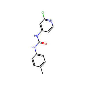 Cc1ccc(NC(=O)Nc2ccnc(Cl)c2)cc1